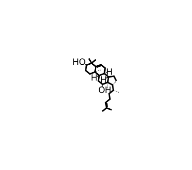 CC(C)=CCC[C@@H](C)[C@H]1CC[C@H]2[C@@H]3CC=C4C(C)(C)[C@@H](O)CC[C@]4(C)[C@H]3C[C@@H](O)[C@]12C